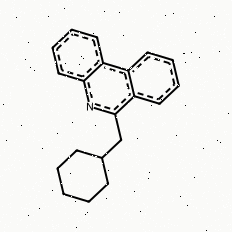 c1ccc2c(c1)nc(CC1CCCCC1)c1ccccc12